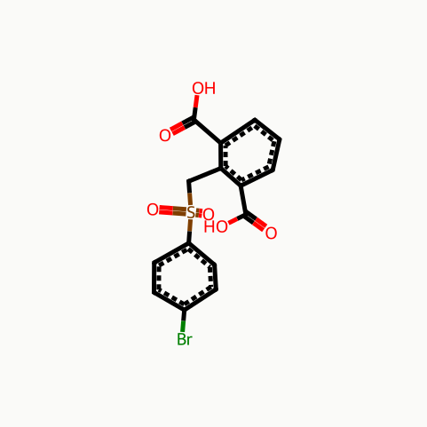 O=C(O)c1cccc(C(=O)O)c1CS(=O)(=O)c1ccc(Br)cc1